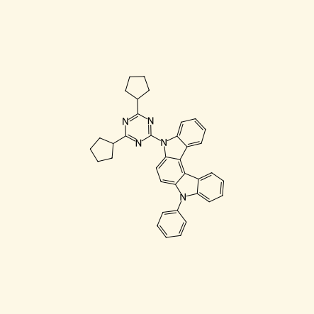 c1ccc(-n2c3ccccc3c3c4c5ccccc5n(-c5nc(C6CCCC6)nc(C6CCCC6)n5)c4ccc32)cc1